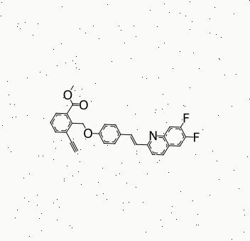 C#Cc1cccc(C(=O)OC)c1COc1ccc(C=Cc2ccc3cc(F)c(F)cc3n2)cc1